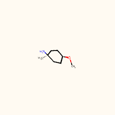 CO[C@H]1CC[C@@](C)(N)CC1